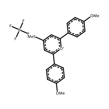 COc1ccc(-c2cc(SC)cc(-c3ccc(OC)cc3)[o+]2)cc1.F[B-](F)(F)F